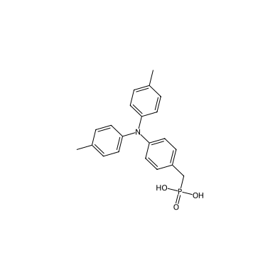 Cc1ccc(N(c2ccc(C)cc2)c2ccc(CP(=O)(O)O)cc2)cc1